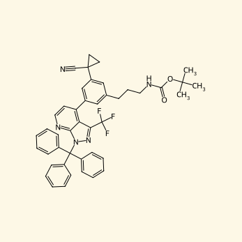 CC(C)(C)OC(=O)NCCCc1cc(-c2ccnc3c2c(C(F)(F)F)nn3C(c2ccccc2)(c2ccccc2)c2ccccc2)cc(C2(C#N)CC2)c1